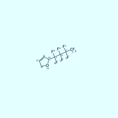 FC(F)(F)C(F)(F)C(F)(F)C(F)(F)C1C=CCO1